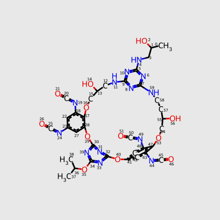 CC(O)CNc1nc2nc(n1)NCC(O)COc1c(N=C=O)cc(N=C=O)cc1Oc1nc(nc(OC(C)C)n1)Oc1cc(N=C=O)c(c(N=C=O)c1)OCC(O)CCN2